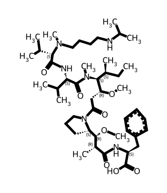 CC[C@H](C)[C@@H]([C@@H](CC(=O)N1CCC[C@H]1[C@H](OC)[C@@H](C)C(=O)N[C@@H](Cc1ccccc1)C(=O)O)OC)N(C)C(=O)[C@@H](NC(=O)[C@H](C(C)C)N(C)CCCCNC(C)C)C(C)C